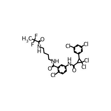 CC(F)(F)C(=O)NCCCCNC(=O)c1cc(NC(=O)C2C(c3cc(Cl)cc(Cl)c3)C2(Cl)Cl)ccc1Cl